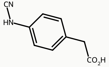 N#CNc1ccc(CC(=O)O)cc1